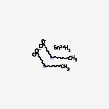 CCCCCCCC/C=C\CCCCCCCC(=O)[O-].CCCCCCCC/C=C\CCCCCCCC(=O)[O-].[SnH2+2]